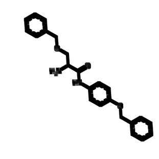 NC(COCc1ccccc1)C(=O)Nc1ccc(OCc2ccccc2)cc1